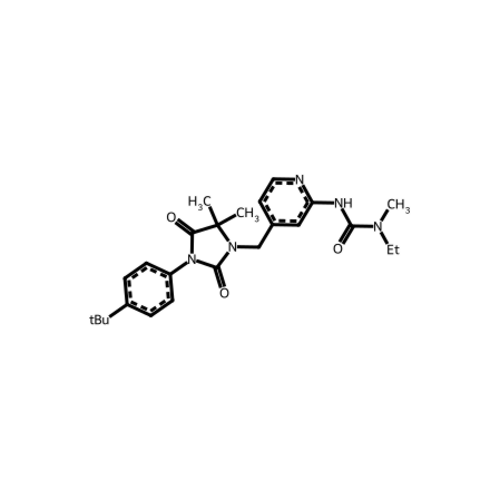 CCN(C)C(=O)Nc1cc(CN2C(=O)N(c3ccc(C(C)(C)C)cc3)C(=O)C2(C)C)ccn1